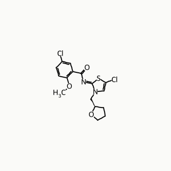 COc1ccc(Cl)cc1C(=O)N=c1sc(Cl)cn1C[C@H]1CCCO1